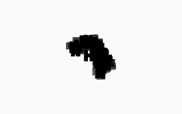 Cc1ccc(C(=O)Nc2ccc(CN(C)C)c(C(F)(F)F)c2)cc1-n1cc(-c2cnn(C)c2C)nn1